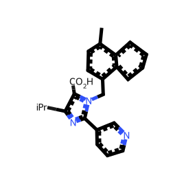 Cc1ccc(Cn2c(-c3cccnc3)nc(C(C)C)c2C(=O)O)c2ccccc12